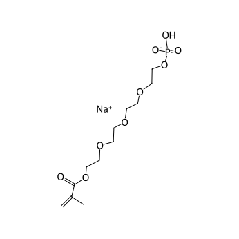 C=C(C)C(=O)OCCOCCOCCOCCOP(=O)([O-])O.[Na+]